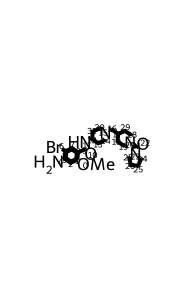 COc1cc(N)c(Br)cc1C(=O)NC1CCN(CC2CCN(C(=O)N3CCCC3)CC2)CC1